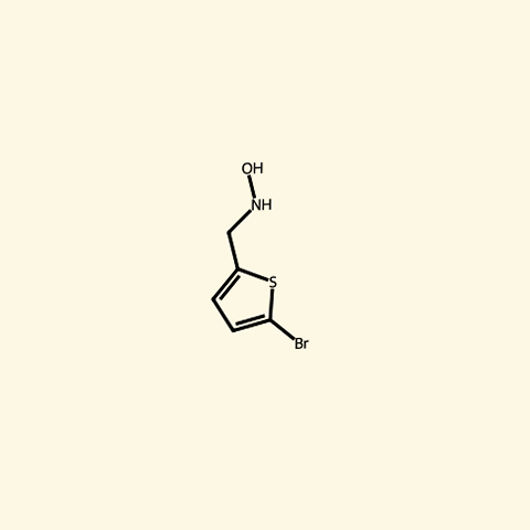 ONCc1ccc(Br)s1